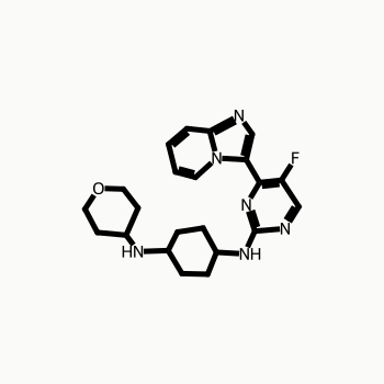 Fc1cnc(NC2CCC(NC3CCOCC3)CC2)nc1-c1cnc2ccccn12